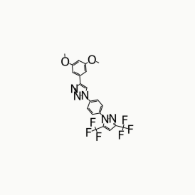 COc1cc(OC)cc(-c2cn(-c3ccc(-n4nc(C(F)(F)F)cc4C(F)(F)F)cc3)nn2)c1